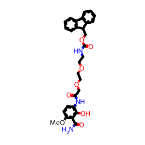 COc1ccc(NC(=O)COCCOCCNC(=O)OCC2c3ccccc3-c3ccccc32)c(O)c1C(N)=O